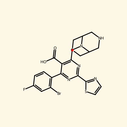 O=C(O)c1c(CN2C3CNCC2COC3)nc(-c2nccs2)nc1-c1ccc(F)cc1Br